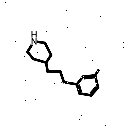 Cc1cccc([CH]CCC2CCNCC2)c1